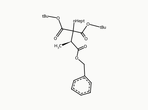 CCCCCCCC(C(=O)OC(C)(C)C)(C(=O)OC(C)(C)C)[C@H](C)C(=O)OCc1ccccc1